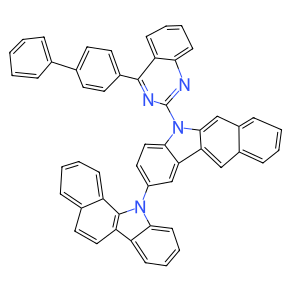 c1ccc(-c2ccc(-c3nc(-n4c5ccc(-n6c7ccccc7c7ccc8ccccc8c76)cc5c5cc6ccccc6cc54)nc4ccccc34)cc2)cc1